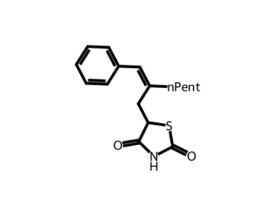 CCCCCC(=Cc1ccccc1)CC1SC(=O)NC1=O